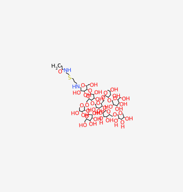 C=CC(=O)NCCSCCCN[C@@H]1O[C@@H](CO)[C@@H](O[C@@H]2OC(CO[C@H]3OC[C@@H](O)[C@H](O)C3O[C@@H]3OC(CO)[C@H](O)[C@H](O)C3O)[C@@H](O[C@@H]3O[C@@H](CO[C@H]4OC[C@@H](O)[C@H](O)C4O[C@@H]4OC(CO)[C@H](O)[C@H](O)C4O)[C@@H](O[C@@H]4OC(CO[C@H]5OC[C@@H](O)[C@H](O)C5O)[C@@H](O)[C@H](O)C4O)C(O)C3O)[C@H](O)C2O)C(O)C1O